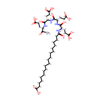 CC(=O)[C@H](CCC(=O)O)NC(=O)[C@H](CCC(=O)O)NC(=O)[C@H](CCC(=O)O)NC(=O)[C@H](CCC(=O)O)NC(=O)CCCCCCCCCCCCCCCCCCC(=O)O